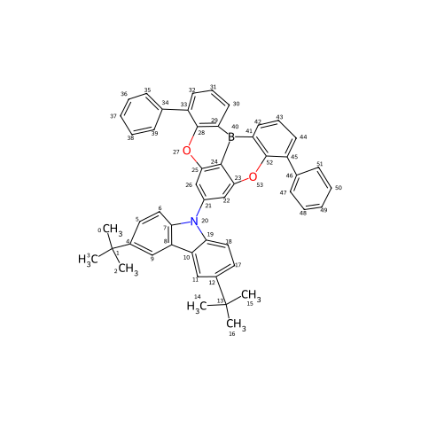 CC(C)(C)c1ccc2c(c1)c1cc(C(C)(C)C)ccc1n2-c1cc2c3c(c1)Oc1c(cccc1-c1ccccc1)B3c1cccc(-c3ccccc3)c1O2